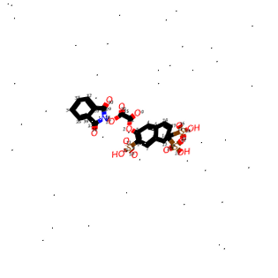 O=C(Oc1cc2c(cc1S(=O)(=O)O)CC(S(=O)(=O)O)(S(=O)(=O)O)C=C2)C(=O)ON1C(=O)c2ccccc2C1=O